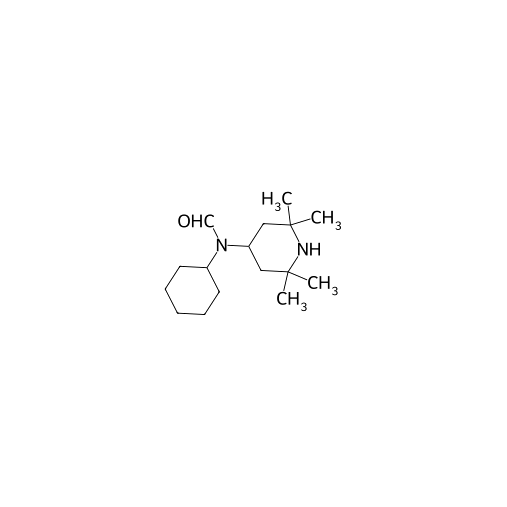 CC1(C)CC(N(C=O)C2CCCCC2)CC(C)(C)N1